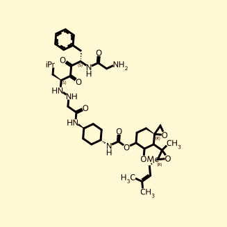 COC1C(OC(=O)N[C@H]2CC[C@H](NC(=O)CNN[C@@H](CC(C)C)C(=O)C(=O)[C@H](Cc3ccccc3)NC(=O)CN)CC2)CC[C@]2(CO2)C1C1(C)O[C@@H]1CC=C(C)C